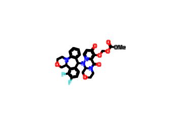 COC(=O)OCOc1c2n(ccc1=O)N(C1c3ccccc3N3CCOCC3c3c1ccc(F)c3F)C1COCCN1C2=O